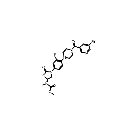 COC(=S)N(C)C1CN(c2ccc(N3CCN(C(=O)c4cncc(Br)c4)CC3)c(F)c2)C(=O)O1